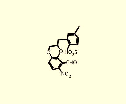 Cc1ccc(S(=O)(=O)O)c(CC2COc3ccc([N+](=O)[O-])c(C=O)c3O2)c1